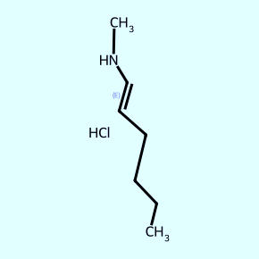 CCCC/C=C/NC.Cl